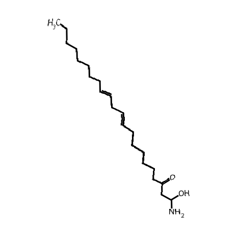 CCCCCCCCC=CCC=CCCCCCCC(=O)CC(N)O